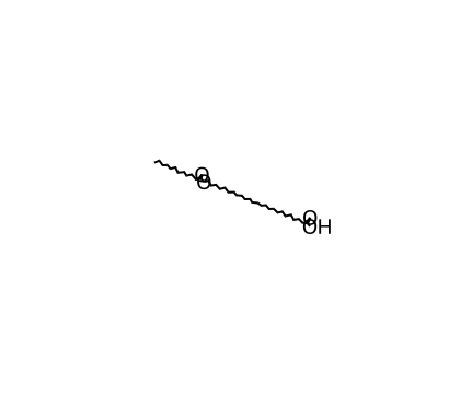 CCCCCCCCCCCC(=O)OCCCCCCCCCCCCCCCCCCCCCCCCC(=O)O